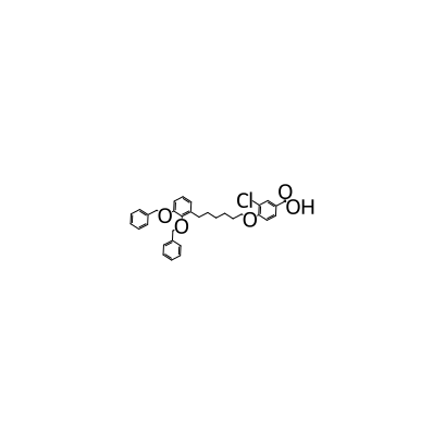 O=C(O)c1ccc(OCCCCCCc2cccc(OCc3ccccc3)c2OCc2ccccc2)c(Cl)c1